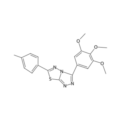 COc1cc(-c2nnc3sc(-c4ccc(C)cc4)nn23)cc(OC)c1OC